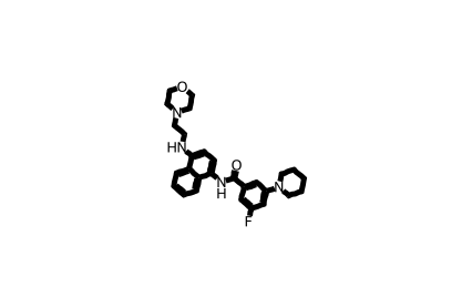 O=C(Nc1ccc(NCCN2CCOCC2)c2ccccc12)c1cc(F)cc(N2CCCCC2)c1